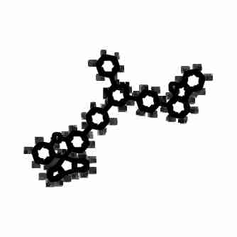 c1ccc(-c2nc(-c3ccc(-c4ccc5c(c4)Oc4ccccc4C54c5ccccc5-c5ccccc54)cc3)cc(-c3ccc(-c4cccc5c4oc4ccccc45)cc3)n2)cc1